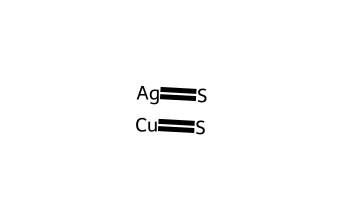 [S]=[Ag].[S]=[Cu]